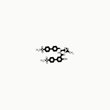 Cc1noc([C@@H](Cc2ccc(-c3ccc(S(C)(=O)=O)cc3)cc2)NC(=O)c2cc(-c3ccc(S(C)(=O)=O)cc3)ccc2O)n1